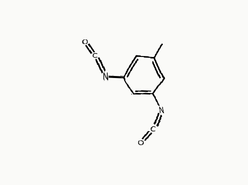 Cc1cc(N=C=O)[c]c(N=C=O)c1